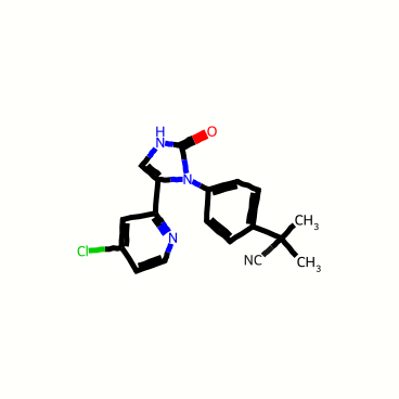 CC(C)(C#N)c1ccc(-n2c(-c3cc(Cl)ccn3)c[nH]c2=O)cc1